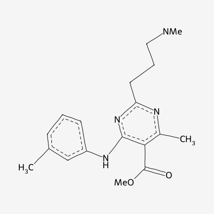 CNCCCc1nc(C)c(C(=O)OC)c(Nc2cccc(C)c2)n1